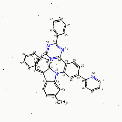 Cc1ccc2c3ccccc3n(-c3cc(-c4ccccn4)ccc3-c3nc(-c4ccccc4)nc(-c4ccccc4)n3)c2c1